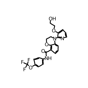 O=C(Nc1ccc(OC(F)(F)F)cc1)c1cccc2c1OCCN2c1ncccc1OCCO